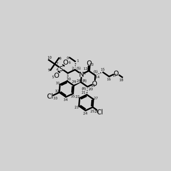 CC[C@@H](CS(=O)(=O)C(C)(C)C)N1C(=O)[C@H](CCOC)O[C@H](c2cccc(Cl)c2)[C@H]1c1ccc(Cl)cc1